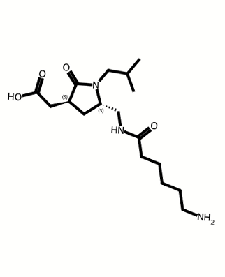 CC(C)CN1C(=O)[C@H](CC(=O)O)C[C@H]1CNC(=O)CCCCCN